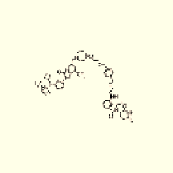 Cn1cnnc1[C@@H](c1cccc(-n2cc3c(C(F)(F)F)cc(CN4CCC[C@H](OCCOCc5ccc(COCCNc6cccc7c6C(=O)N(C6CCC(=O)NC6=O)C7=O)cc5)CC4)cn3c2=O)c1)C1CCC1